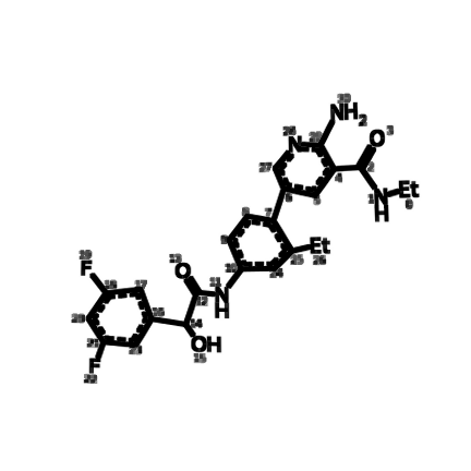 CCNC(=O)c1cc(-c2ccc(NC(=O)C(O)c3cc(F)cc(F)c3)cc2CC)cnc1N